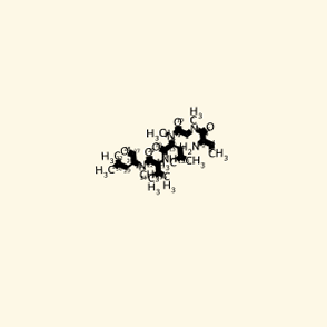 CCC(N)C(=O)N(C)CC(=O)N(C)[C@@H](CC(C)C)C(=O)N[C@H](C(=O)N(C)[C@H]([C]=O)CC(C)C)C(C)C